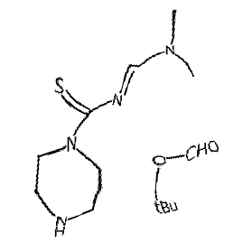 CC(C)(C)OC=O.CN(C)C=NC(=S)N1CCNCC1